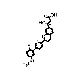 COc1ccc(F)c(-c2ccc(C3CCc4ccc([C@H](O)CC(=O)O)cc4O3)nc2)c1